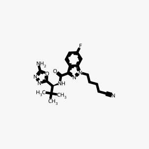 CC(C)(C)[C@H](NC(=O)c1nn(CCCCC#N)c2cc(F)ccc12)c1nnc(N)o1